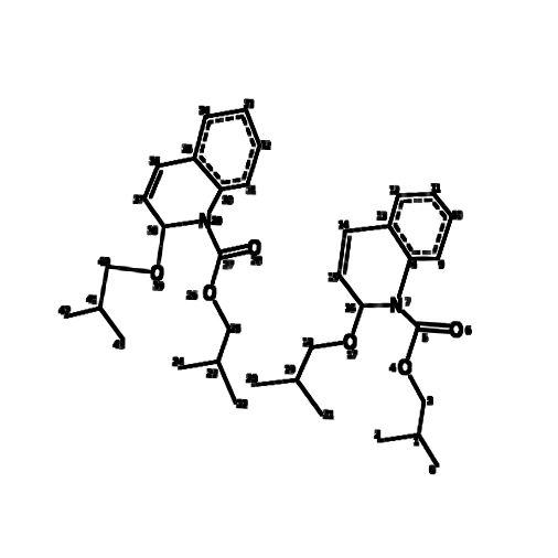 CC(C)COC(=O)N1c2ccccc2C=CC1OCC(C)C.CC(C)COC(=O)N1c2ccccc2C=CC1OCC(C)C